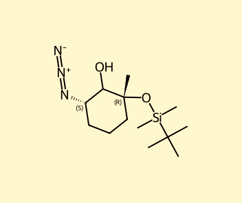 CC(C)(C)[Si](C)(C)O[C@]1(C)CCC[C@H](N=[N+]=[N-])C1O